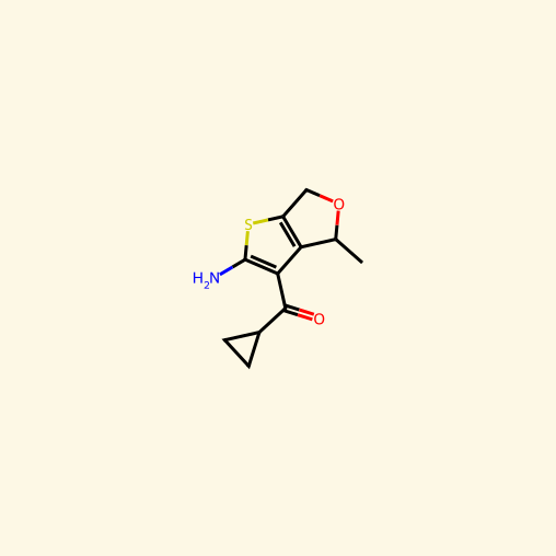 CC1OCc2sc(N)c(C(=O)C3CC3)c21